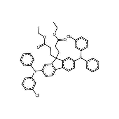 CCOC(=O)CCC1(CCC(=O)OCC)c2cc(N(c3ccccc3)c3cccc(Cl)c3)ccc2-c2ccc(N(c3ccccc3)c3cccc(Cl)c3)cc21